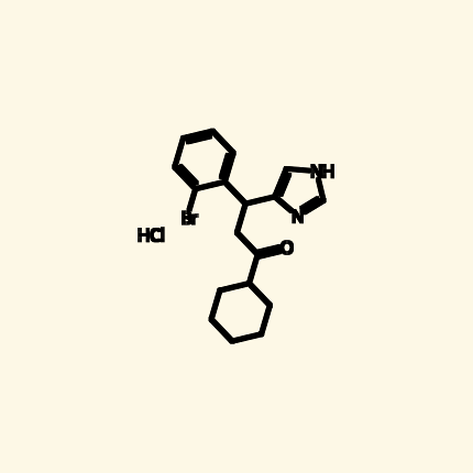 Cl.O=C(CC(c1c[nH]cn1)c1ccccc1Br)C1CCCCC1